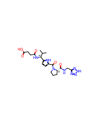 CC(C)[C@H](NC(=O)CCC(=O)O)c1ccc(C(=O)N2CCC[C@H]2C(=O)NCc2nn[nH]n2)[nH]1